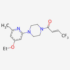 CCOc1cc(C)nc(N2CCN(C(=O)C=CC(F)(F)F)CC2)c1